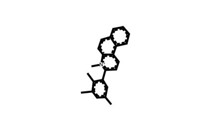 Cc1cc(C)c(C)c(-c2ccc3c4ccccc4ccc3[n+]2C)c1